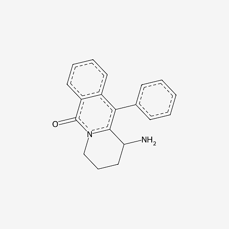 NC1CCCn2c1c(-c1ccccc1)c1ccccc1c2=O